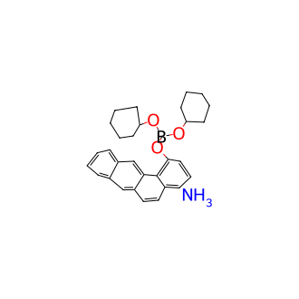 N.c1ccc2cc3c(ccc4cccc(OB(OC5CCCCC5)OC5CCCCC5)c43)cc2c1